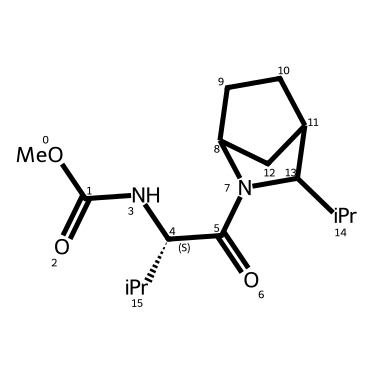 COC(=O)N[C@H](C(=O)N1C2CCC(C2)C1C(C)C)C(C)C